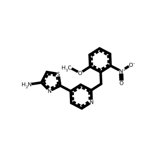 COc1cccc([N+](=O)[O-])c1Cc1cc(-c2nc(N)cs2)ccn1